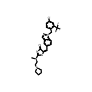 CN(CCN1CCCC1)C1=NC(=O)C(=Cc2ccc3c(cnn3Cc3ccc(Cl)cc3C(F)(F)F)c2)S1